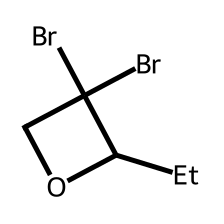 CCC1OCC1(Br)Br